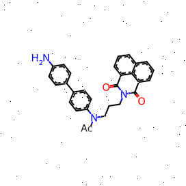 CC(=O)N(CCCN1C(=O)c2cccc3cccc(c23)C1=O)c1ccc(-c2ccc(N)cc2)cc1